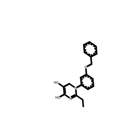 CCC1=NC(O)=C(O)CN1c1cccc(OCc2ccccc2)c1